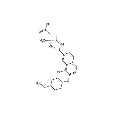 CCC1CCC(Oc2ccc3ccc(CNC4CC(C(=O)O)C4(C)C)cc3c2Cl)CC1